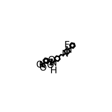 O=[N+]([O-])c1cccc(S(=O)(=O)NC2CCC(CCN3CCN(c4ccccc4F)CC3)CC2)c1